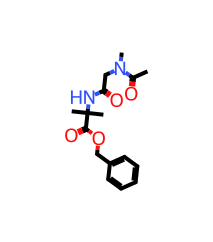 CC(=O)N(C)CC(=O)NC(C)(C)C(=O)OCc1ccccc1